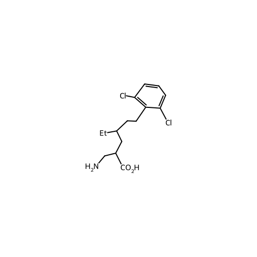 CCC(CCc1c(Cl)cccc1Cl)CC(CN)C(=O)O